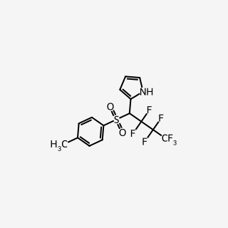 Cc1ccc(S(=O)(=O)C(c2ccc[nH]2)C(F)(F)C(F)(F)C(F)(F)F)cc1